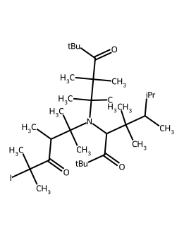 CC(C)C(C)C(C)(C)C(C(=O)C(C)(C)C)N(C(C)(C)C(C)C(=O)C(C)(C)I)C(C)(C)C(C)(C)C(=O)C(C)(C)C